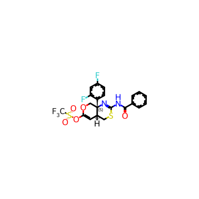 O=C(NC1=N[C@@]2(c3ccc(F)cc3F)COC(OS(=O)(=O)C(F)(F)F)=C[C@H]2CS1)c1ccccc1